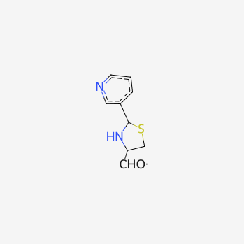 O=[C]C1CSC(c2cccnc2)N1